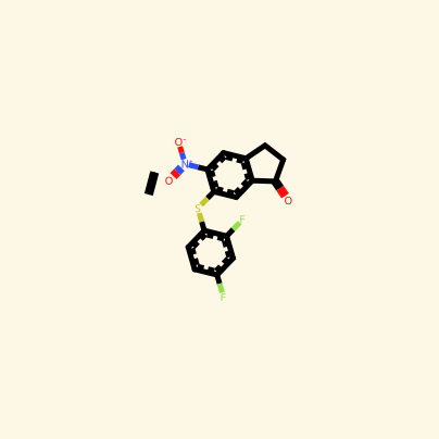 C=C.O=C1CCc2cc([N+](=O)[O-])c(Sc3ccc(F)cc3F)cc21